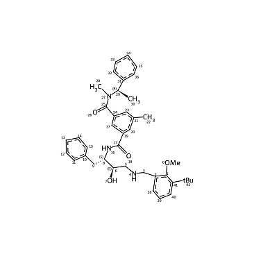 COc1c(CNC[C@@H](O)[C@H](Cc2ccccc2)NC(=O)c2cc(C)cc(C(=O)N(C)[C@H](C)c3ccccc3)c2)cccc1C(C)(C)C